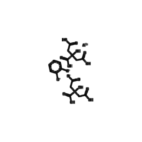 O=C(O)CC(O)(CC(=O)O)C(=O)O.O=C([O-])CC(O)(CC(=O)O)C(=O)O.[Al+3].[O-]c1ccccc1[O-]